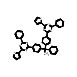 CC(C1=CC=C(c2nc(-c3ccccc3)nc(-c3cccs3)n2)CC1)(c1ccccc1)c1ccc(-c2nc(-c3ccccc3)nc(-c3cccs3)n2)cc1